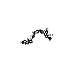 C=C1CCC(N2C(=O)c3cccc(NCCOCCC(=O)N4CCC(Oc5ccc(CCc6ccc(-c7cc(C)nn7C)c(O)c6-c6ccc(Cl)c(C)c6)cc5)CC4)c3C2=O)C(=O)N1